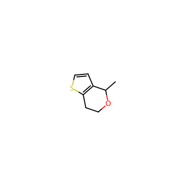 CC1OCCc2sccc21